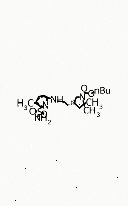 CCCCOC(=O)N1C[C@@H](CCCNc2ccc(C)c(S(N)(=O)=O)n2)CC1(C)C